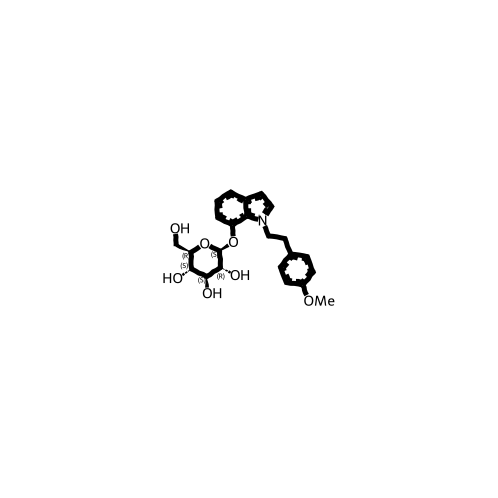 COc1ccc(CCn2ccc3cccc(O[C@@H]4O[C@H](CO)[C@@H](O)[C@H](O)[C@H]4O)c32)cc1